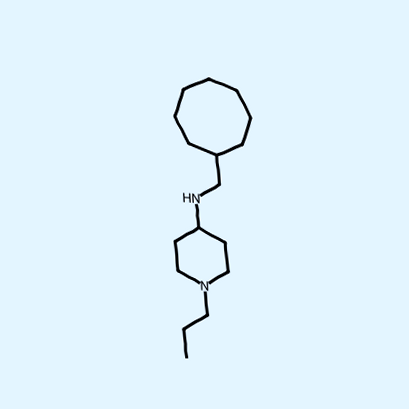 CCCN1CCC(NCC2CCCCCCC2)CC1